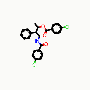 CC(OC(=O)c1ccc(Cl)cc1)C(CNC(=O)c1ccc(Cl)cc1)c1ccccc1